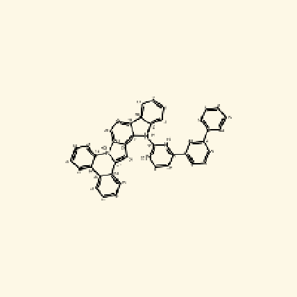 c1ccc(-c2cccc(-c3ccnc(-n4c5ccccc5c5ccc6c(cc7c8ccccc8c8ccccc8n76)c54)n3)c2)cc1